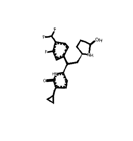 O=c1[nH]c(C(C[C@H]2CCC(O)N2)c2ccc(C(F)F)c(F)c2)ccc1C1CC1